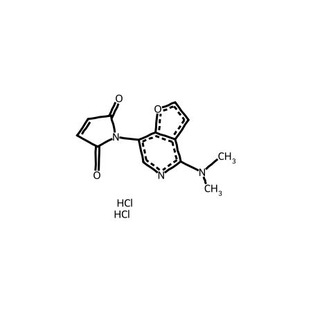 CN(C)c1ncc(N2C(=O)C=CC2=O)c2occc12.Cl.Cl